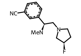 CN[C@H](CN1CC[C@@H](F)C1)c1cccc(C#N)c1